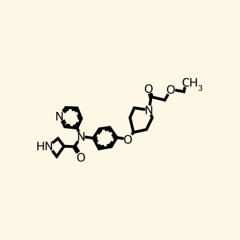 CCOCC(=O)N1CCC(Oc2ccc(N(C(=O)C3CNC3)c3cccnc3)cc2)CC1